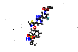 Cc1nc(Oc2ccc(S(=O)(=O)NCC(F)(F)F)c3ccccc23)c(-c2ccnc(N[C@H]3C[C@H](F)CN(C(=O)OC(C)(C)C)C3)n2)s1